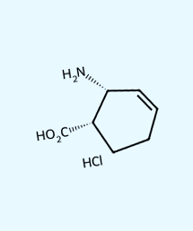 Cl.N[C@@H]1C=CCC[C@@H]1C(=O)O